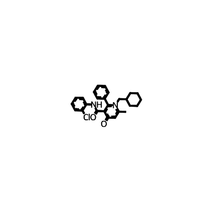 Cc1cc(=O)c(C(=O)Nc2ccccc2Cl)c(-c2ccccc2)n1CC1CCCCC1